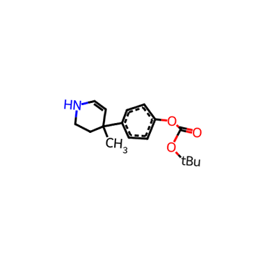 CC(C)(C)OC(=O)Oc1ccc(C2(C)C=CNCC2)cc1